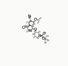 CC(C)Oc1cc2c(OC3CCCN(C(=O)OC(C)(C)C)C3)ncc(Cl)c2cc1C#N